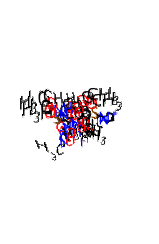 CCN1CCN(C(=O)NC(C(=O)NC(Cc2ccc(SCC[N+]3(C)CCCC3)c(C(=O)OC(C)(C)C)c2OC(=O)OC(C)(C)C)B2O[C@@H]3C[C@@H]4C[C@@H](C4(C)C)[C@]3(C)O2)c2csc(NC(=O)OC(C)(C)C)n2)C(=O)C1=O.[I-]